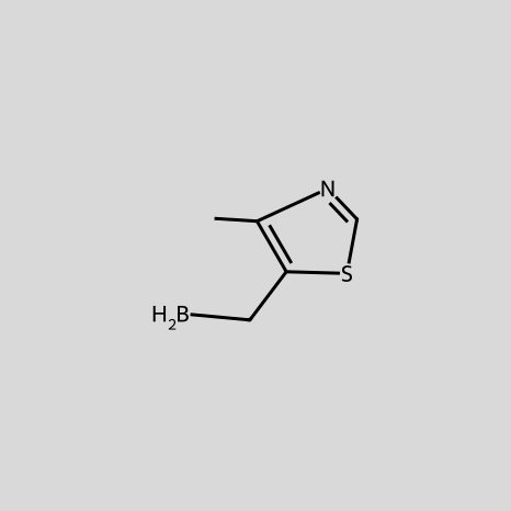 BCc1scnc1C